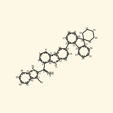 Cc1c(C(=N)c2cccc3c2sc2ccc(-c4cccc5c4-c4ccccc4C54CCCCC4)cc23)sc2ccccc12